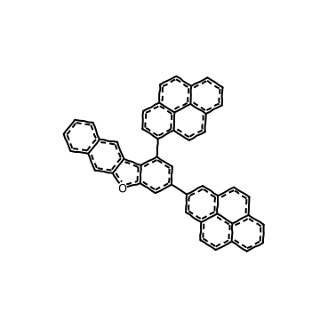 c1ccc2cc3c(cc2c1)oc1cc(-c2cc4ccc5cccc6ccc(c2)c4c56)cc(-c2ccc4ccc5cccc6ccc2c4c56)c13